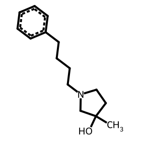 CC1(O)CCN(CCCCc2ccccc2)C1